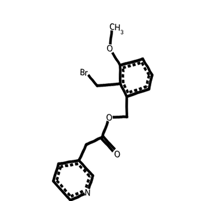 COc1cccc(COC(=O)Cc2cccnc2)c1CBr